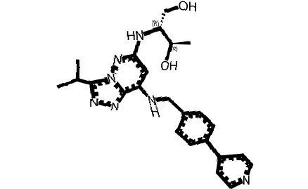 CC(C)c1nnc2c(NCc3ccc(-c4ccncc4)cc3)cc(N[C@H](CO)[C@@H](C)O)nn12